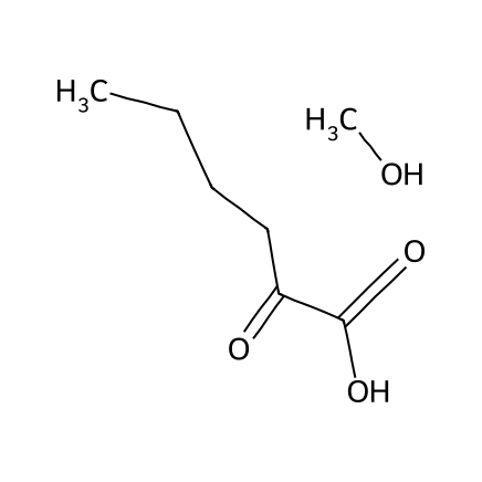 CCCCC(=O)C(=O)O.CO